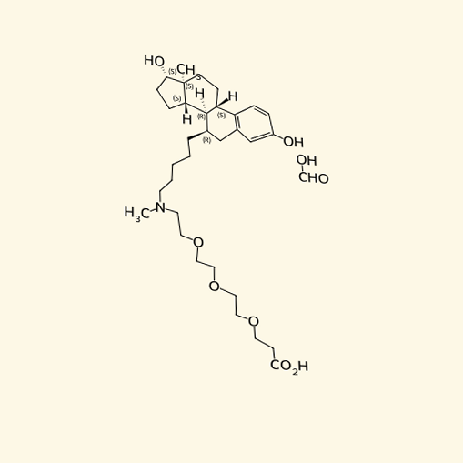 CN(CCCCC[C@@H]1Cc2cc(O)ccc2[C@H]2CC[C@]3(C)[C@@H](O)CC[C@H]3[C@H]12)CCOCCOCCOCCC(=O)O.O=CO